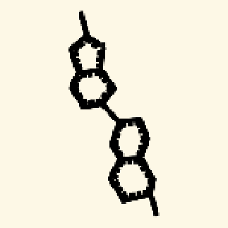 Cc1ccc2cc(-c3ccc4cc(C)sc4c3)ccc2c1